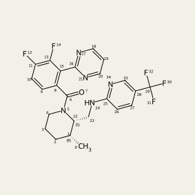 C[C@@H]1CCCN(C(=O)c2ccc(F)c(F)c2-c2ncccn2)[C@@H]1CNc1ccc(C(F)(F)F)cn1